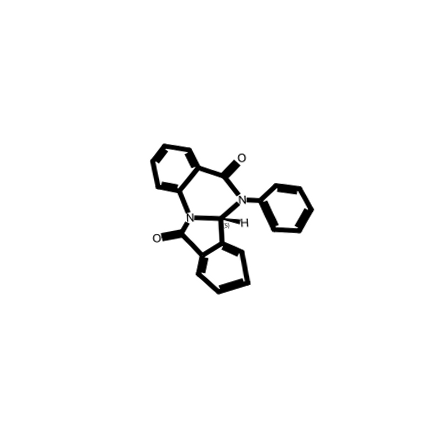 O=C1c2ccccc2N2C(=O)c3ccccc3[C@H]2N1c1ccccc1